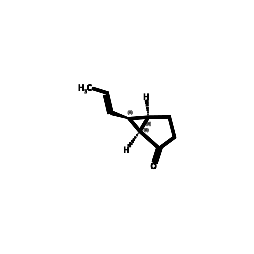 CC=C[C@H]1[C@H]2CCC(=O)[C@@H]12